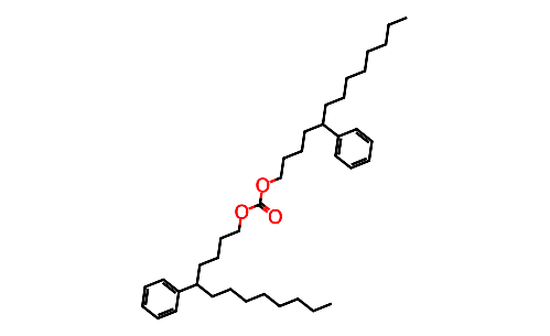 CCCCCCCCC(CCCCOC(=O)OCCCCC(CCCCCCCC)c1ccccc1)c1ccccc1